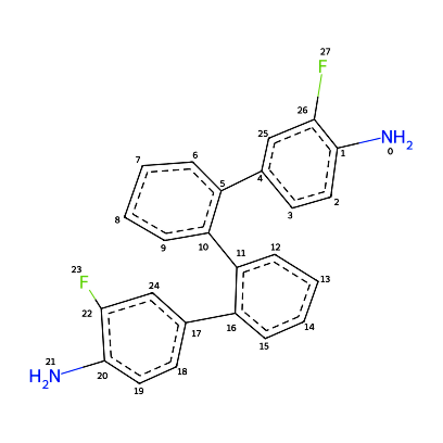 Nc1ccc(-c2ccccc2-c2ccccc2-c2ccc(N)c(F)c2)cc1F